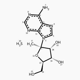 C[C@@]1(n2cnc3c(N)ncnc32)O[C@H](CO)[C@@H](O)[C@H]1O.S